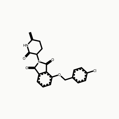 C=C1CCC(N2C(=O)c3cccc(OCc4ccc(Cl)cc4)c3C2=O)C(=O)N1